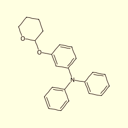 c1ccc(N(c2ccccc2)c2cccc(OC3CCCCO3)c2)cc1